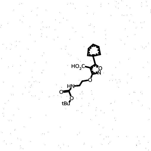 CC(C)(C)OC(=O)NCCOc1noc(-c2ccccc2)c1C(=O)O